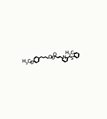 COc1ccc(CCCCOOC(=O)C=Cc2cccc(CSc3ccccc3C)n2)cc1